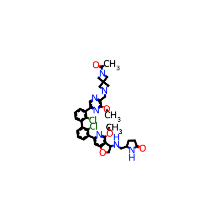 COc1nc(-c2cccc(-c3cccc(-c4cc5c(c(OC)n4)C(NCC4CCC(=O)N4)CO5)c3Cl)c2Cl)cnc1CN1CC2(C1)CN(C(C)=O)C2